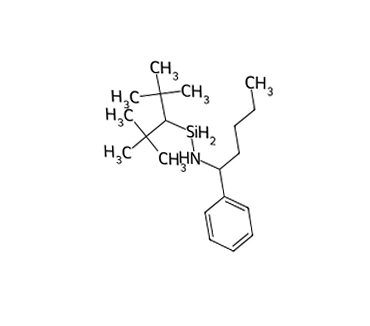 CCCCC(N[SiH2]C(C(C)(C)C)C(C)(C)C)c1ccccc1